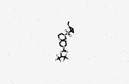 CC[C@H]1C2CC21S(=O)(=O)N1CCOC2(CCN(C(=O)OC(C(F)(F)F)C(F)(F)F)CC2)C1